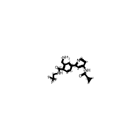 NCc1cc(-c2cc(NC(=O)C3CC3)ccn2)ccc1C(=O)NCC(F)(F)F